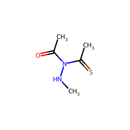 CNN(C(C)=O)C(C)=S